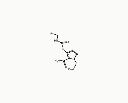 CCCCCSc1nsc(NC(=O)NCC(C)C)c1C(N)=O